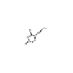 CCC#Cn1ccc(=O)[nH]c1=O